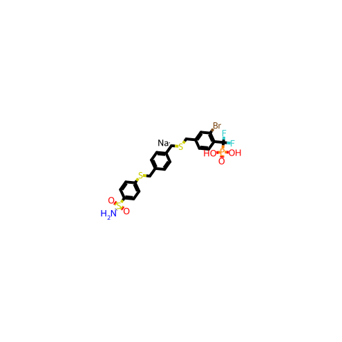 NS(=O)(=O)c1ccc(SCc2ccc(CSCc3ccc(C(F)(F)P(=O)(O)O)c(Br)c3)cc2)cc1.[Na]